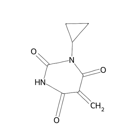 C=C1C(=O)NC(=O)N(C2CC2)C1=O